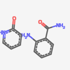 NC(=O)c1ccccc1N.O=c1cccc[nH]1